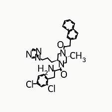 C[C@@H]1CN(C(=O)[C@H](N)Cc2ccc(Cl)cc2Cl)[C@@H](CCCn2cncn2)CN1C(=O)Cc1ccc2ccccc2c1